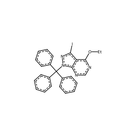 CCOc1ncnc2c1c(I)nn2C(c1ccccc1)(c1ccccc1)c1ccccc1